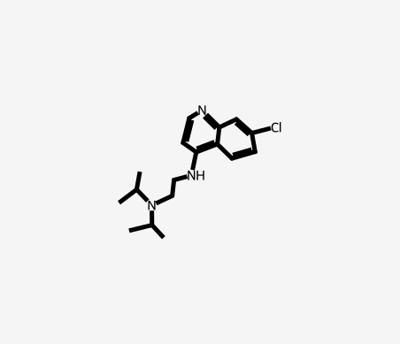 CC(C)N(CCNc1ccnc2cc(Cl)ccc12)C(C)C